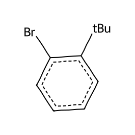 CC(C)(C)c1ccccc1Br